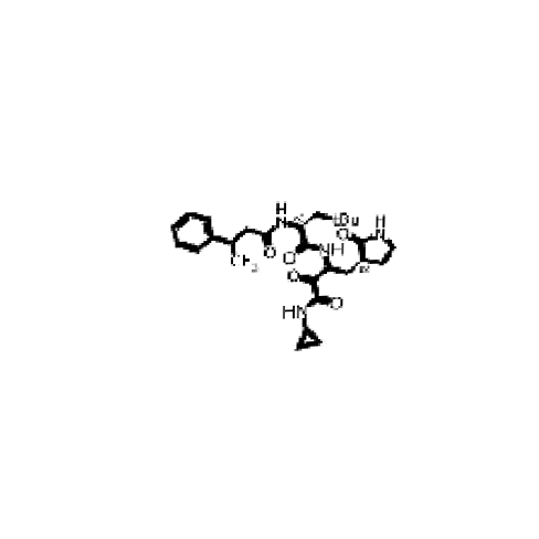 CC(C)(C)C[C@H](NC(=O)CC(c1ccccc1)C(F)(F)F)C(=O)NC(C[C@@H]1CCNC1=O)C(=O)C(=O)NC1CC1